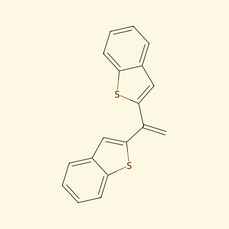 C=C(c1cc2ccccc2s1)c1cc2ccccc2s1